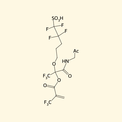 C=C(C(=O)OC(OCCCC(F)(F)C(F)(F)S(=O)(=O)O)(C(=O)NCC(C)=O)C(F)(F)F)C(F)(F)F